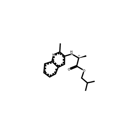 Cc1nc2ccccc2cc1N[C@@H](C)C(=O)OCC(C)C